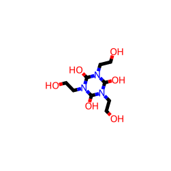 OCCN1C(O)N(CCO)C(O)N(CCO)C1O